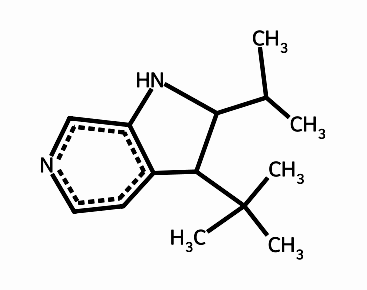 CC(C)C1Nc2cnccc2C1C(C)(C)C